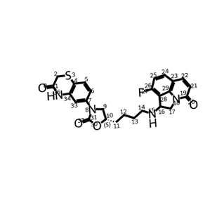 O=C1CSc2ccc(N3C[C@H](CCCCNC4Cn5c(=O)ccc6ccc(F)c4c65)OC3=O)cc2N1